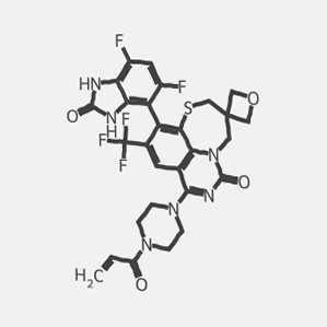 C=CC(=O)N1CCN(c2nc(=O)n3c4c(c(-c5c(F)cc(F)c6[nH]c(=O)[nH]c56)c(C(F)(F)F)cc24)SCC2(COC2)C3)CC1